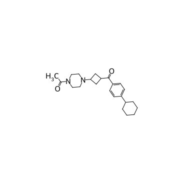 CC(=O)N1CCN(C2CC(C(=O)c3ccc(C4CCCCC4)cc3)C2)CC1